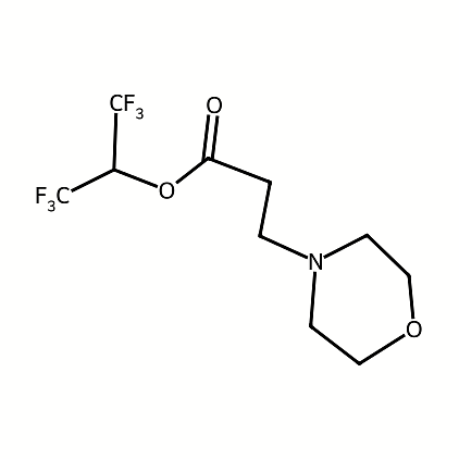 O=C(CCN1CCOCC1)OC(C(F)(F)F)C(F)(F)F